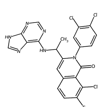 CC(Nc1ncnc2[nH]cnc12)c1cc2ccc(F)c(Cl)c2c(=O)n1-c1ccc(Cl)c(Cl)c1